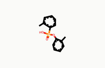 Cc1ccccc1OP(=O)(O)c1ccccc1C